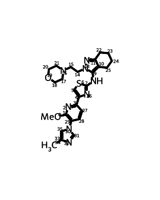 COc1nc(-c2csc(Nc3c4c(nn3CCN3CCOCC3)CCCC4)n2)ccc1-n1cnc(C)c1